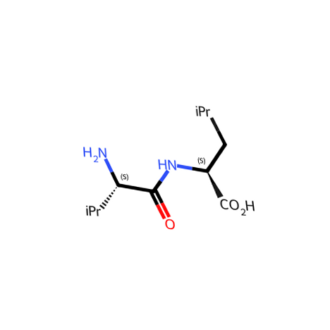 CC(C)C[C@H](NC(=O)[C@@H](N)C(C)C)C(=O)O